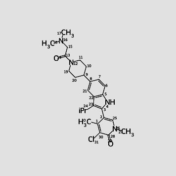 Cc1c(-c2[nH]c3ccc(C4CCN(C(=O)CN(C)C)CC4)cc3c2C(C)C)cn(C)c(=O)c1Cl